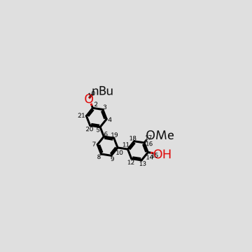 CCCCOc1ccc(-c2cccc(-c3ccc(O)c(OC)c3)c2)cc1